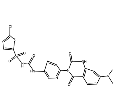 CN(C)c1ccc2c(=O)n(-c3ccc(NC(=O)NS(=O)(=O)c4ccc(Cl)s4)cn3)c(=O)[nH]c2c1